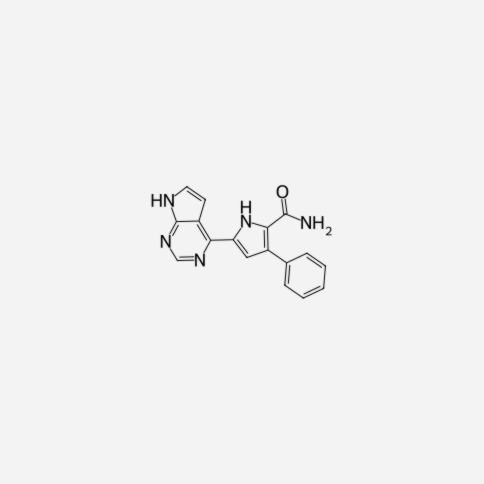 NC(=O)c1[nH]c(-c2ncnc3[nH]ccc23)cc1-c1ccccc1